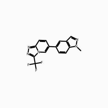 Cn1ncc2cc(-c3ccc4nnc(C(F)(F)F)n4c3)ccc21